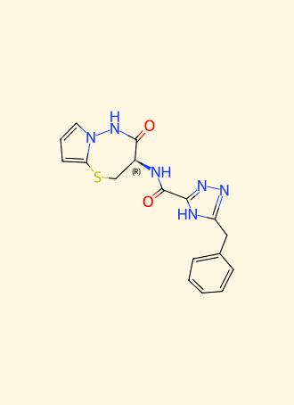 O=C(N[C@H]1CSc2cccn2NC1=O)c1nnc(Cc2ccccc2)[nH]1